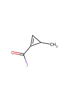 CC1C=C1C(=O)I